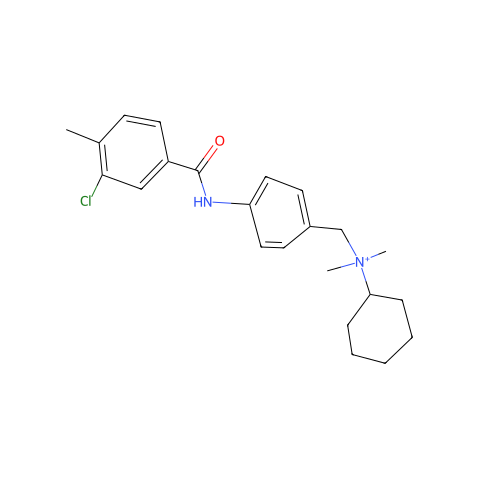 Cc1ccc(C(=O)Nc2ccc(C[N+](C)(C)C3CCCCC3)cc2)cc1Cl